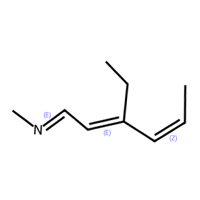 C\C=C/C(=C/C=N/C)CC